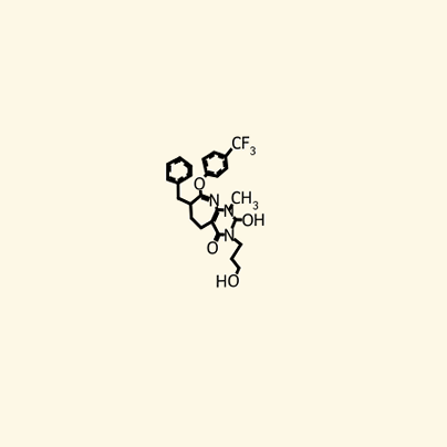 CN1C2=C(CCC(Cc3ccccc3)C(Oc3ccc(C(F)(F)F)cc3)=N2)C(=O)N(CCCO)C1O